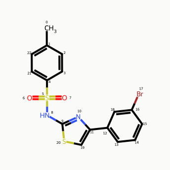 Cc1ccc(S(=O)(=O)Nc2nc(-c3cccc(Br)c3)cs2)cc1